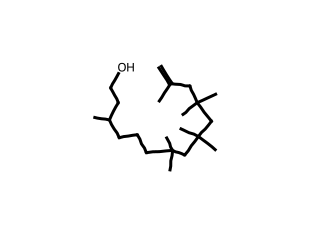 C=C(C)CC(C)(C)CC(C)(C)CC(C)(C)CCCC(C)CCO